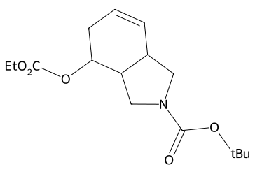 CCOC(=O)OC1CC=CC2CN(C(=O)OC(C)(C)C)CC21